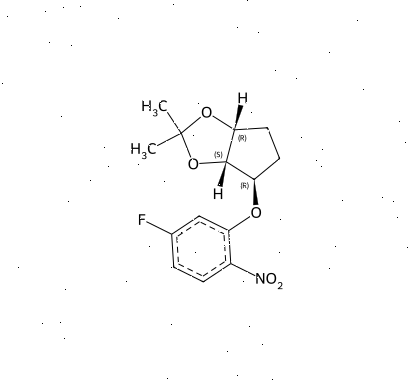 CC1(C)O[C@H]2[C@H](Oc3cc(F)ccc3[N+](=O)[O-])CC[C@H]2O1